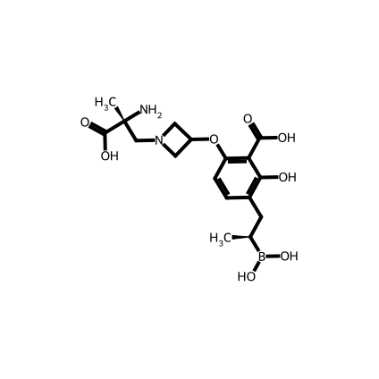 C[C@@H](Cc1ccc(OC2CN(C[C@@](C)(N)C(=O)O)C2)c(C(=O)O)c1O)B(O)O